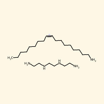 CCCCCCCC/C=C\CCCCCCCCN.NCCNCCNCCN